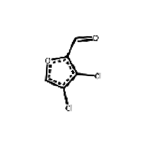 O=Cc1occ(Cl)c1Cl